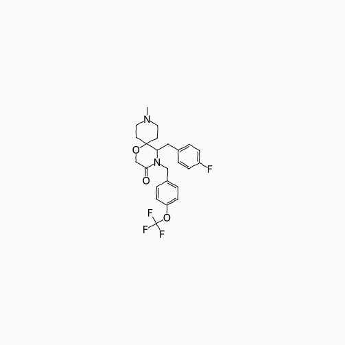 CN1CCC2(CC1)OCC(=O)N(Cc1ccc(OC(F)(F)F)cc1)C2Cc1ccc(F)cc1